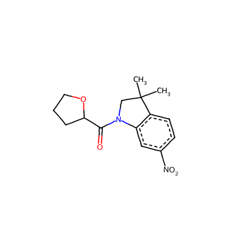 CC1(C)CN(C(=O)C2CCCO2)c2cc([N+](=O)[O-])ccc21